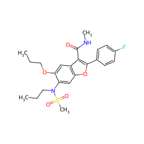 CCCOc1cc2c(C(=O)NC)c(-c3ccc(F)cc3)oc2cc1N(CCC)S(C)(=O)=O